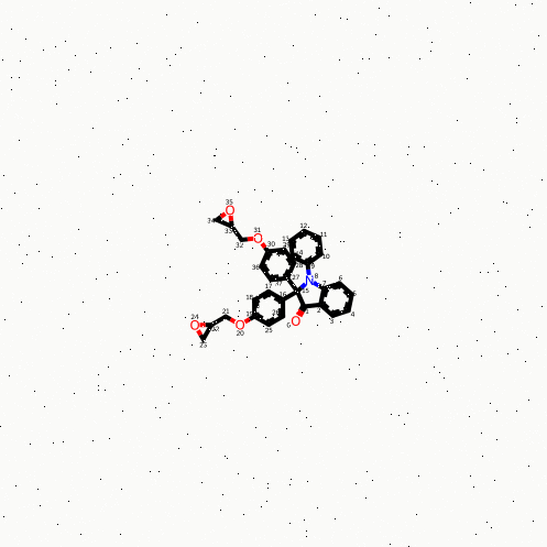 O=C1c2ccccc2N(c2ccccc2)C1(c1ccc(OCC2CO2)cc1)c1ccc(OCC2CO2)cc1